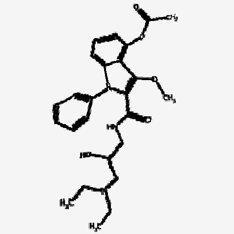 CCN(CC)CC(O)CNC(=O)c1c(OC)c2c(OC(C)=O)cccc2n1-c1ccccc1